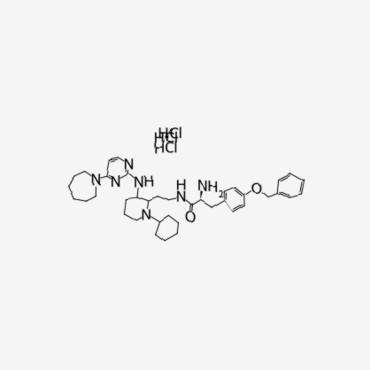 Cl.Cl.Cl.N[C@@H](Cc1ccc(OCc2ccccc2)cc1)C(=O)NCCC1C(Nc2nccc(N3CCCCCC3)n2)CCCN1C1CCCCC1